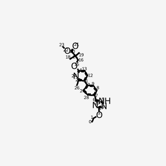 CCOc1n[nH]c(-c2ccc(-c3ccc(OCC(C)(C)C(=O)OC)nc3C)cc2)n1